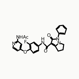 CC(=O)Nc1cc(Oc2ccc(NC(=O)c3c4n(n(-c5ccccc5)c3=O)CCC4)cc2F)ccn1